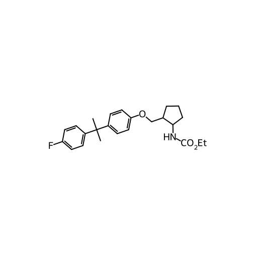 CCOC(=O)NC1CCCC1COc1ccc(C(C)(C)c2ccc(F)cc2)cc1